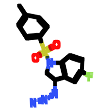 Cc1ccc(S(=O)(=O)N2CC(N=[N+]=[N-])c3cc(F)ccc32)cc1